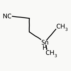 [CH3][SnH]([CH3])[CH2]CC#N